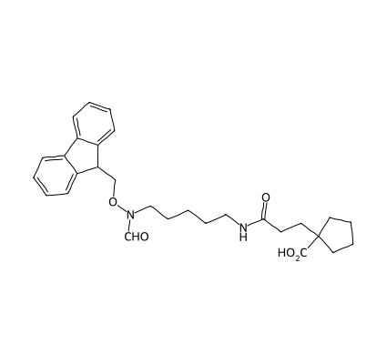 O=CN(CCCCCNC(=O)CCC1(C(=O)O)CCCC1)OCC1c2ccccc2-c2ccccc21